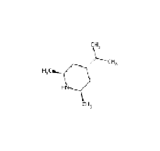 CC(C)[C@@H]1C[C@@H](C)N[C@@H](C)C1